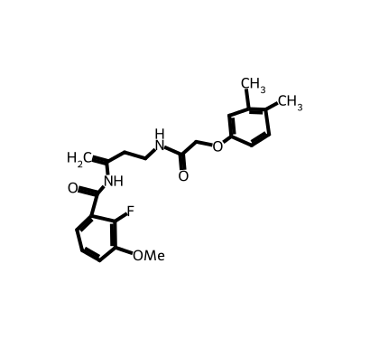 C=C(CCNC(=O)COc1ccc(C)c(C)c1)NC(=O)c1cccc(OC)c1F